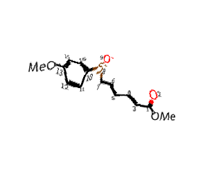 COC(=O)C=CC=CC[S+]([O-])c1ccc(OC)cc1